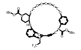 CC(C)(C)OC(=O)N1CCC2Nc3cccc4c3cc(n4CC(F)(F)F)C#CCN(C(=O)OC(C)(C)C)c3cccc(c3)OCCOCCOCCC2C1